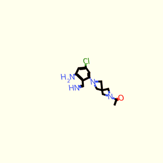 CC(=O)N1CC2(C1)CN(c1cc(Cl)cc(N)c1C=N)C2